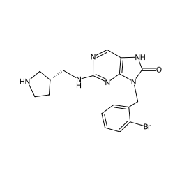 O=c1[nH]c2cnc(NC[C@@H]3CCNC3)nc2n1Cc1ccccc1Br